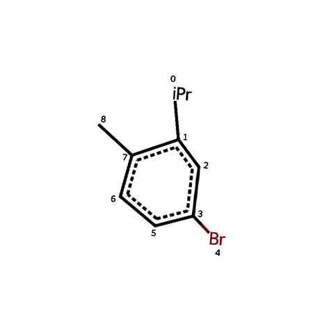 [CH2]C(C)c1cc(Br)ccc1C